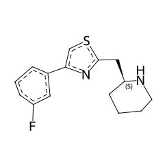 Fc1cccc(-c2csc(C[C@@H]3CCCCN3)n2)c1